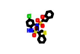 O=S(=O)(Nc1cc(Cl)ccc1NS(=O)(=O)c1csc2ccccc12)c1cc2ccccc2o1